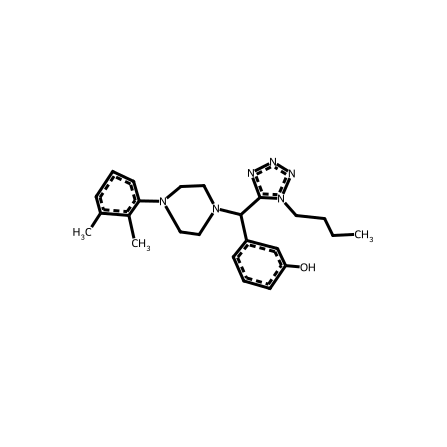 CCCCn1nnnc1C(c1cccc(O)c1)N1CCN(c2cccc(C)c2C)CC1